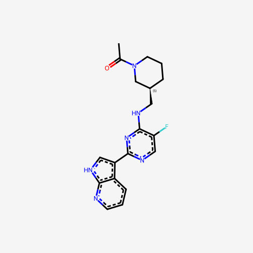 CC(=O)N1CCC[C@@H](CNc2nc(-c3c[nH]c4ncccc34)ncc2F)C1